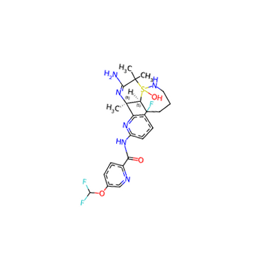 CC1(C)C(N)=N[C@](C)(c2nc(NC(=O)c3ccc(OC(F)F)cn3)ccc2F)[C@@H]2CCCCNS21O